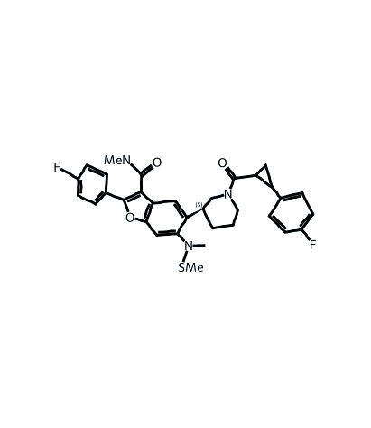 CNC(=O)c1c(-c2ccc(F)cc2)oc2cc(N(C)SC)c([C@@H]3CCCN(C(=O)C4CC4c4ccc(F)cc4)C3)cc12